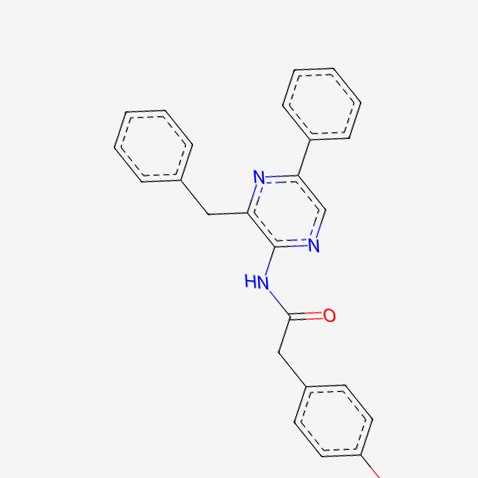 O=C(Cc1ccc(O)cc1)Nc1ncc(-c2ccccc2)nc1Cc1ccccc1